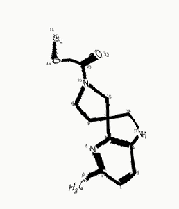 Cc1ccc2c(n1)C1(CCN(C(=O)OC(C)(C)C)C1)CN2